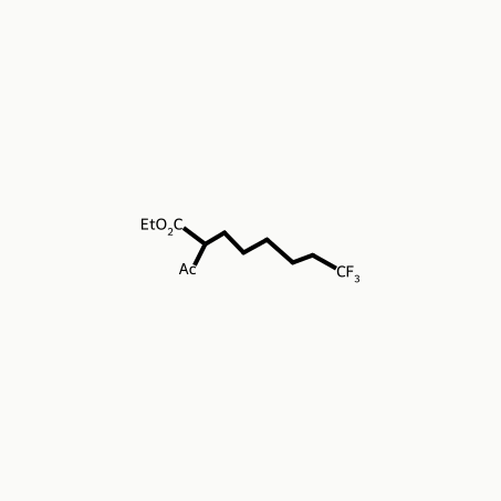 CCOC(=O)C(CCCCCC(F)(F)F)C(C)=O